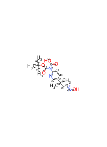 CC(C)(C)OC(=O)N(C(=O)O)c1ccc(C(C)(C)C/C=N/O)cn1